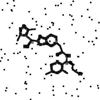 Cc1cnc([C@H](CCC(C)C)NC(=O)Cc2ccc3oc([C@@H](O)c4c(C)noc4C)cc3c2)c(C)c1